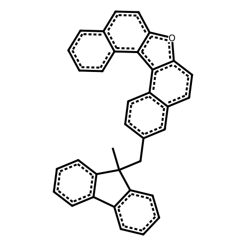 CC1(Cc2ccc3c(ccc4oc5ccc6ccccc6c5c43)c2)c2ccccc2-c2ccccc21